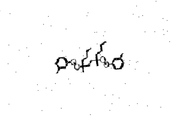 CCCCC(C)(CCC(C)(CCCC)OOc1cccc(C)c1)OOc1cccc(C)c1